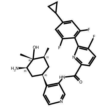 C[C@H]1C[C@@H](c2ccncc2NC(=O)c2ccc(F)c(-c3c(F)cc(C4CC4)cc3F)n2)C[C@@H](N)[C@]1(C)O